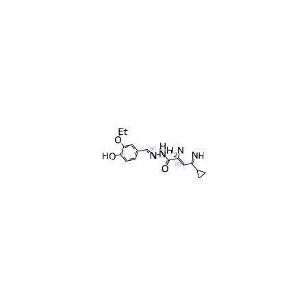 CCOc1cc(/C=N/NC(=O)/C(N)=C/C(=N)C2CC2)ccc1O